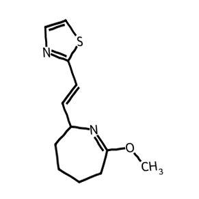 COC1=NC(C=Cc2nccs2)CCCC1